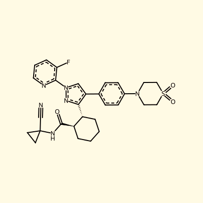 N#CC1(NC(=O)[C@@H]2CCCC[C@H]2c2nn(-c3ncccc3F)cc2-c2ccc(N3CCS(=O)(=O)CC3)cc2)CC1